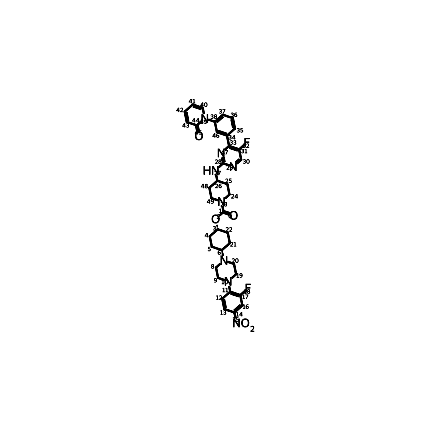 O=C(O[C@H]1CC[C@H](N2CCN(c3ccc([N+](=O)[O-])cc3F)CC2)CC1)N1CCC(Nc2ncc(F)c(-c3cccc(-n4ccccc4=O)c3)n2)CC1